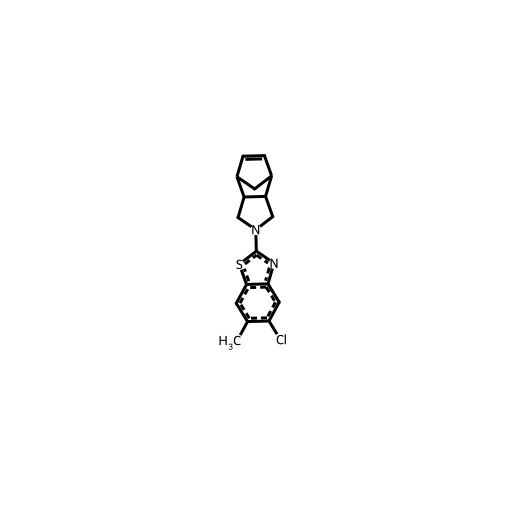 Cc1cc2sc(N3CC4C5C=CC(C5)C4C3)nc2cc1Cl